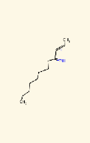 C/C=C/C(=N)CCCCCCCC